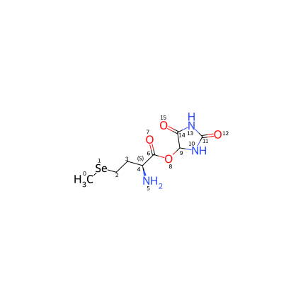 C[Se]CC[C@H](N)C(=O)OC1NC(=O)NC1=O